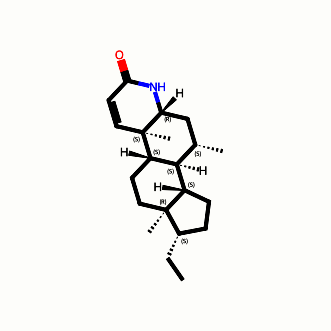 CC[C@H]1CC[C@H]2[C@@H]3[C@@H](C)C[C@H]4NC(=O)C=C[C@]4(C)[C@H]3CC[C@]12C